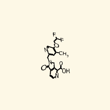 Cc1cc(CN2Cc3c(ccnc3C(=O)O)C2=O)ncc1OCC(F)F